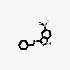 O=[N+]([O-])c1ccc2[nH]nc(NCc3ccccc3)c2c1